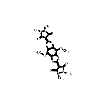 COc1c2c(c(OC)c3c1SC(=C1C(=O)N(C)N(C)C1=O)S3)SC(=C1C(=O)N(C)N(C)C1=O)S2